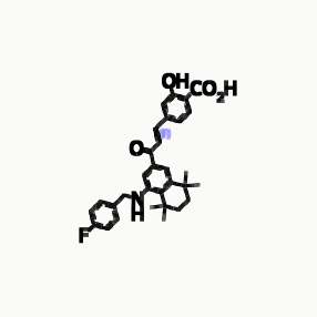 CC1(C)CCC(C)(C)c2c(NCc3ccc(F)cc3)cc(C(=O)/C=C/c3ccc(C(=O)O)c(O)c3)cc21